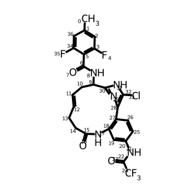 Cc1cc(F)c(C(=O)NC2C/C=C/CCC(=O)Nc3cc(NC(=O)C(F)(F)F)ccc3-c3nc2[nH]c3Cl)c(F)c1